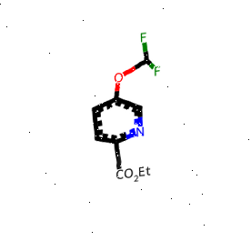 CCOC(=O)c1ccc(OC(F)F)cn1